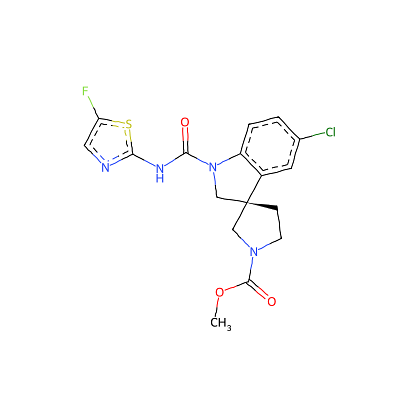 COC(=O)N1CC[C@@]2(C1)CN(C(=O)Nc1ncc(F)s1)c1ccc(Cl)cc12